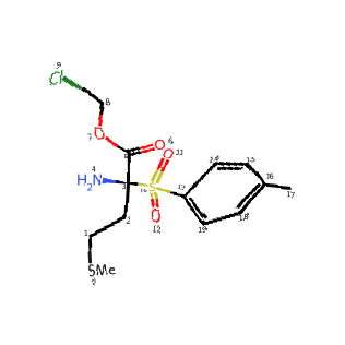 CSCC[C@](N)(C(=O)OCCl)S(=O)(=O)c1ccc(C)cc1